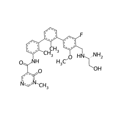 COc1cc(-c2cccc(-c3cccc(NC(=O)c4cncn(C)c4=O)c3C)c2C)cc(F)c1CN[C@H](N)CO